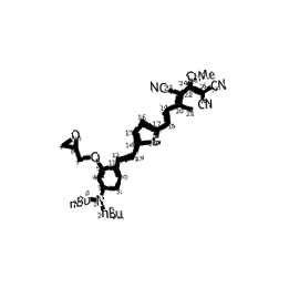 CCCCN(CCCC)C1C=C(OCC2CO2)C(/C=C/c2ccc(/C=C/C(C)=C(\C#N)C(OC)=C(C#N)C#N)s2)=CC1